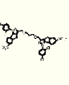 O=S(=O)(O)c1ccc2c(c1)Cc1c(COCCCOCc3nn(-c4ccc(Cl)cc4Cl)c4c3Cc3cc(S(=O)(=O)O)ccc3-4)nn(-c3ccc(Cl)cc3Cl)c1-2